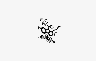 CC=CCc1c(F)cc(P(=O)(OCCCC)OCCCC)c2c1C(C(=O)NCC(F)(F)F)c1cc(F)ccc1-2